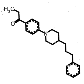 CCC(=O)c1ccc(N2CCC(CCCc3ccccc3)CC2)cc1